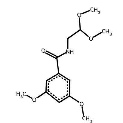 COc1cc(OC)cc(C(=O)NCC(OC)OC)c1